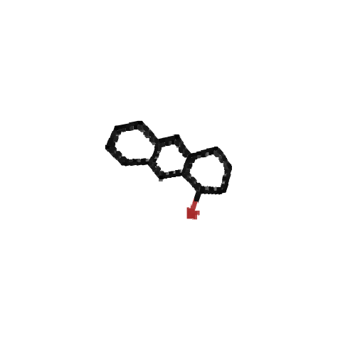 Brc1cccc2cc3ccccc3[c]c12